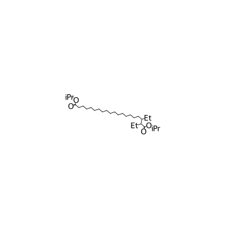 CCC(CCCCCCCCCCCCCCCCC(=O)OC(C)C)C(CC)C(=O)OC(C)C